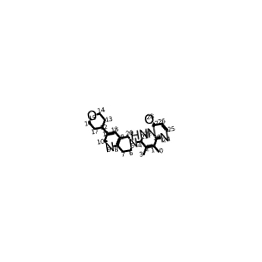 CC1=C(C)C(N2CCc3ncc(C4CCOCC4)cc3C2)Nn2c1nccc2=O